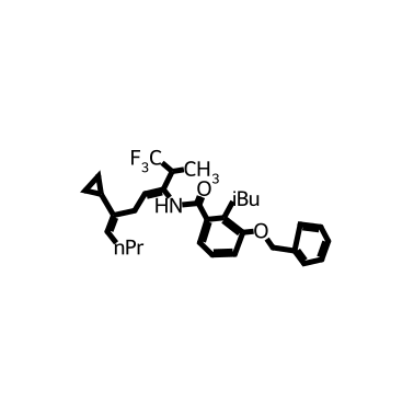 CCC/C=C(\C/C=C(\NC(=O)c1cccc(OCc2ccccc2)c1C(C)CC)C(C)C(F)(F)F)C1CC1